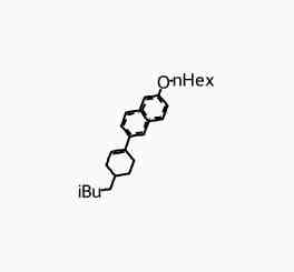 CCCCCCOc1ccc2cc(C3=CCC(CC(C)CC)CC3)ccc2c1